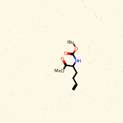 C=CCCC(NC(=O)OC(C)(C)C)C(=O)OC